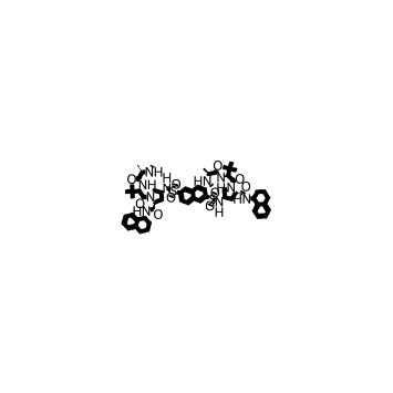 CN[C@@H](C)C(=O)N[C@H](C(=O)N1C[C@@H](NS(=O)(=O)c2ccc3cc(S(=O)(=O)N[C@H]4C[C@@H](C(=O)NC5CCCc6ccccc65)N(C(=O)[C@@H](NC(=O)[C@H](C)NC)C(C)(C)C)C4)ccc3c2)C[C@H]1C(=O)NC1CCCc2ccccc21)C(C)(C)C